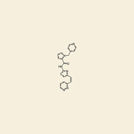 O=C(Nc1nc(/C=C\c2cccnn2)cs1)c1cccn1Cc1ccncc1